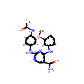 COc1cccc(Nc2nc(Nc3ccc(NC(C)=O)cc3)ncc2C(N)=O)c1